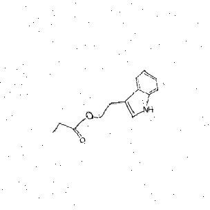 CCC(=O)OCCc1c[nH]c2ccccc12